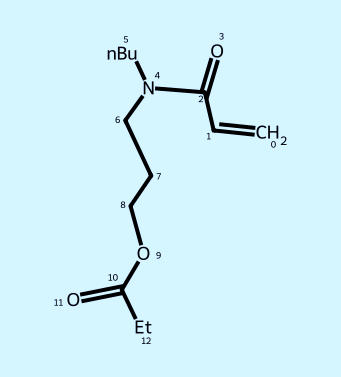 C=CC(=O)N(CCCC)CCCOC(=O)CC